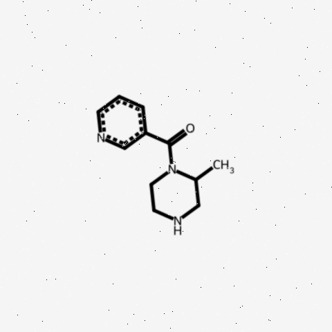 CC1CNCCN1C(=O)c1cccnc1